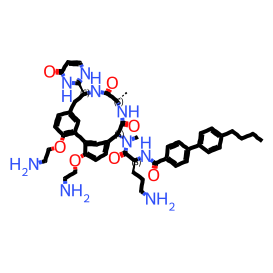 CCCCc1ccc(-c2ccc(C(=O)N[C@@H](CCCN)C(=O)N(C)[C@@H]3C(=O)N[C@@H](C)C(=O)N[C@H](c4nccc(=O)[nH]4)Cc4ccc(OCCN)c(c4)-c4cc3ccc4OCCN)cc2)cc1